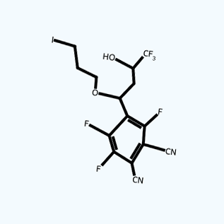 N#Cc1c(F)c(F)c(C(CC(O)C(F)(F)F)OCCCI)c(F)c1C#N